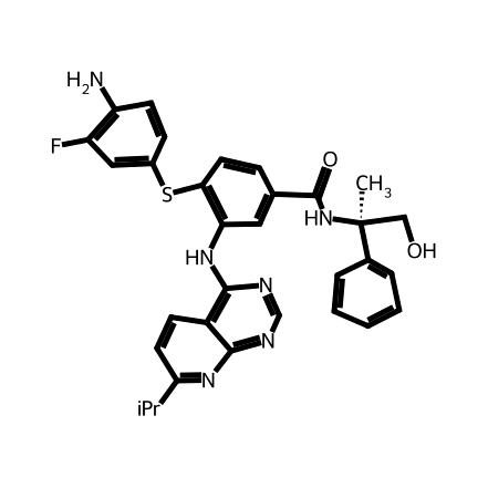 CC(C)c1ccc2c(Nc3cc(C(=O)N[C@@](C)(CO)c4ccccc4)ccc3Sc3ccc(N)c(F)c3)ncnc2n1